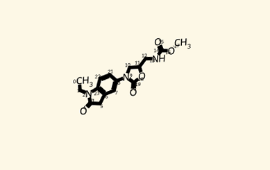 CCN1C(=O)Cc2cc(N3CC(CNC(=O)OC)OC3=O)ccc21